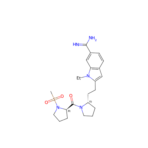 CCn1c(CC[C@@H]2CCCN2C(=O)[C@H]2CCCN2S(C)(=O)=O)cc2ccc(C(=N)N)cc21